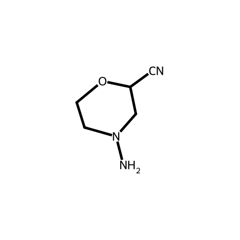 N#CC1CN(N)CCO1